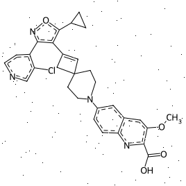 COc1cc2cc(N3CCC4(C=C(c5c(-c6ccncc6Cl)noc5C5CC5)C4)CC3)ccc2nc1C(=O)O